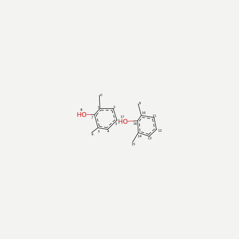 Cc1cccc(C)c1O.Cc1cccc(C)c1O